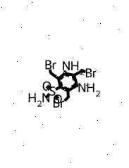 Nc1c(CBr)c(N)c(CBr)c(S(N)(=O)=O)c1CBr